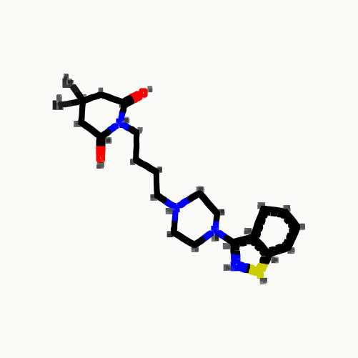 CCC1(CC)CC(=O)N(CCCCN2CCN(c3nsc4ccccc34)CC2)C(=O)C1